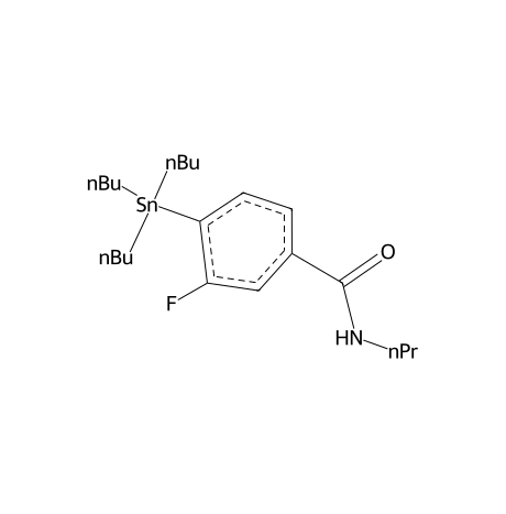 CCC[CH2][Sn]([CH2]CCC)([CH2]CCC)[c]1ccc(C(=O)NCCC)cc1F